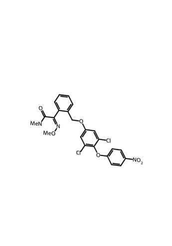 CNC(=O)C(=NOC)c1ccccc1COc1cc(Cl)c(Oc2ccc([N+](=O)[O-])cc2)c(Cl)c1